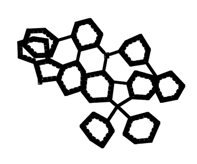 c1ccc(-c2cccc(N(c3cccc(-c4ccccc4)c3-c3cccc4sc5ccccc5c34)c3cccc4c3-c3ccccc3C4(c3ccccc3)c3ccccc3)c2)cc1